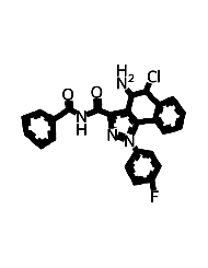 NC1c2c(C(=O)NC(=O)c3ccccc3)nn(-c3ccc(F)cc3)c2-c2ccccc2C1Cl